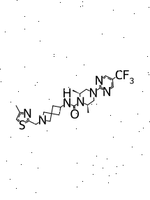 Cc1csc(CN2CC3(CC(NC(=O)N4[C@H](C)CN(c5ncc(C(F)(F)F)cn5)C[C@@H]4C)C3)C2)n1